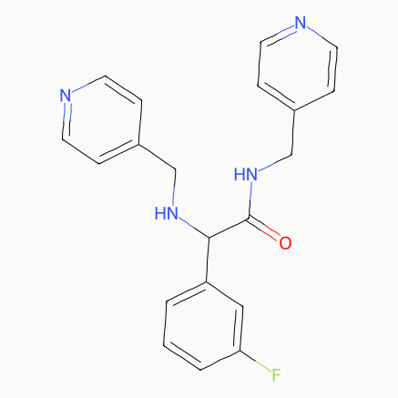 O=C(NCc1ccncc1)C(NCc1ccncc1)c1cccc(F)c1